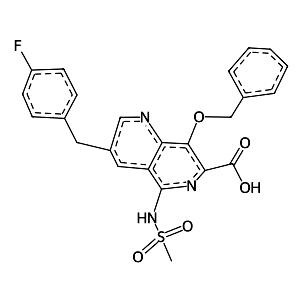 CS(=O)(=O)Nc1nc(C(=O)O)c(OCc2ccccc2)c2ncc(Cc3ccc(F)cc3)cc12